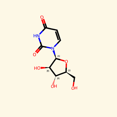 O=c1ccn([C@H]2O[C@@H](CO)[C@H](O)[C@H]2O)c(=O)[nH]1